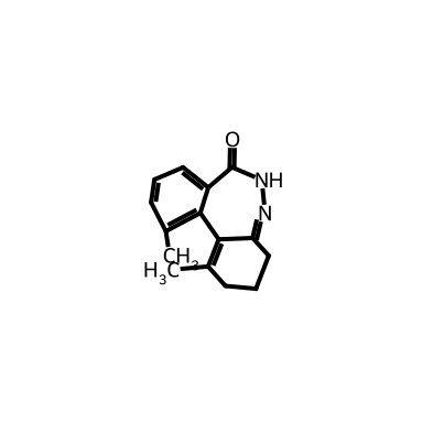 CC1=C2C(=NNC(=O)c3cccc(C)c32)CCC1